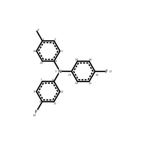 Cc1ccc(N(c2ccc(F)cc2)c2ccc(F)cc2)cc1